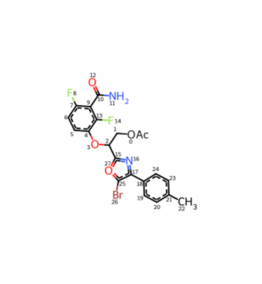 CC(=O)OCC(Oc1ccc(F)c(C(N)=O)c1F)c1nc(-c2ccc(C)cc2)c(Br)o1